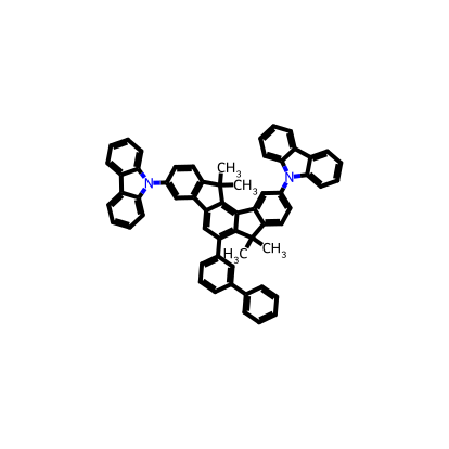 CC1(C)c2ccc(-n3c4ccccc4c4ccccc43)cc2-c2c1c(-c1cccc(-c3ccccc3)c1)cc1c2C(C)(C)c2ccc(-n3c4ccccc4c4ccccc43)cc2-1